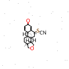 C[C@]12CC[C@H]3[C@@H](C[C@H](SC#N)C4=CC(=O)C=C[C@@]43C)[C@@H]1COC2